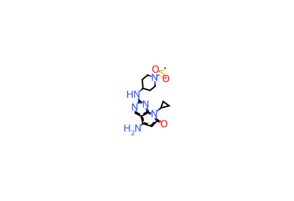 CS(=O)(=O)N1CCC(Nc2ncc3c(N)cc(=O)n(C4CC4)c3n2)CC1